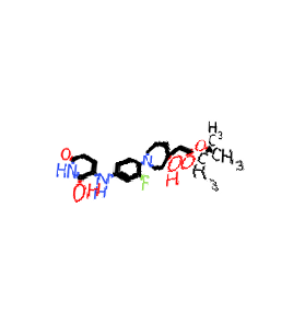 CC(C)(C)OC(=O)CC1(O)CCCN(c2ccc(NC3CCC(=O)NC3O)cc2F)CC1